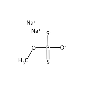 COP([O-])(=S)[S-].[Na+].[Na+]